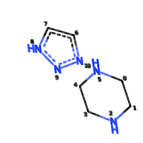 C1CNCCN1.c1c[nH]nn1